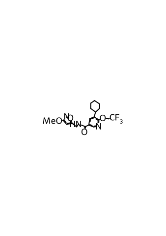 COc1cc(CNC(=O)c2cnc(OCC(F)(F)F)c(C3CCCCC3)c2)on1